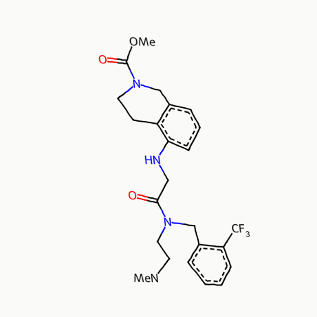 CNCCN(Cc1ccccc1C(F)(F)F)C(=O)CNc1cccc2c1CCN(C(=O)OC)C2